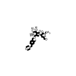 C=C(O)/C(O)=C1/C(=O)N(C(CCC=O)C(=O)NC)C/C1=C(/O)OCc1ccc(CN2CCOCC2)cc1F